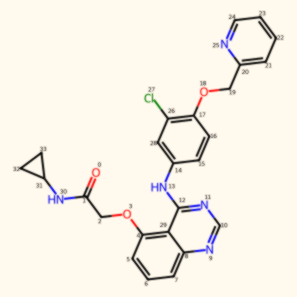 O=C(COc1cccc2ncnc(Nc3ccc(OCc4ccccn4)c(Cl)c3)c12)NC1CC1